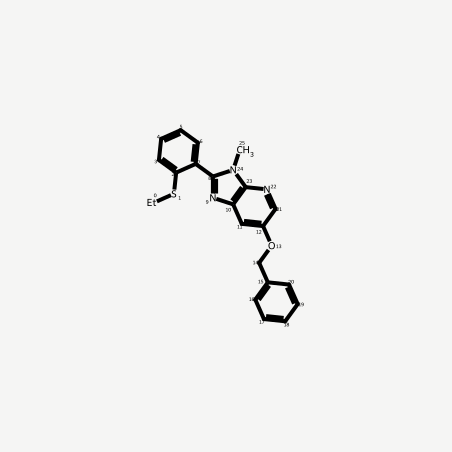 CCSc1ccccc1-c1nc2cc(OCc3ccccc3)cnc2n1C